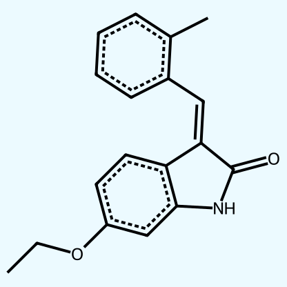 CCOc1ccc2c(c1)NC(=O)/C2=C/c1ccccc1C